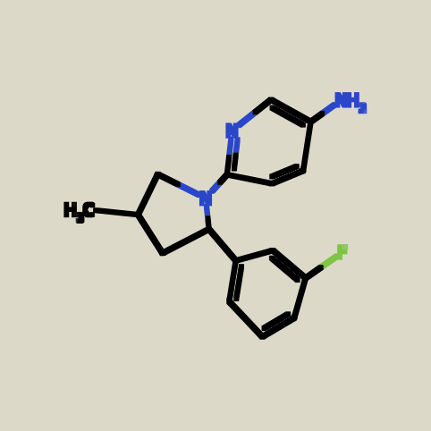 CC1CC(c2cccc(F)c2)N(c2ccc(N)cn2)C1